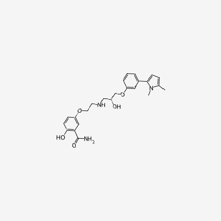 Cc1ccc(-c2cccc(OCC(O)CNCCOc3ccc(O)c(C(N)=O)c3)c2)n1C